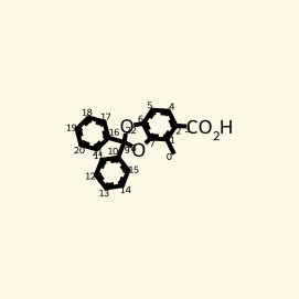 Cc1c(C(=O)O)ccc2c1OC(c1ccccc1)(c1ccccc1)O2